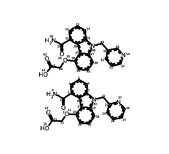 NC(=O)c1cccc2c1c1c(OCC(=O)O)cccc1n2Cc1ccccn1.NC(=O)c1cccc2c1c1c(OCC(=O)O)cccc1n2Cc1cccnc1